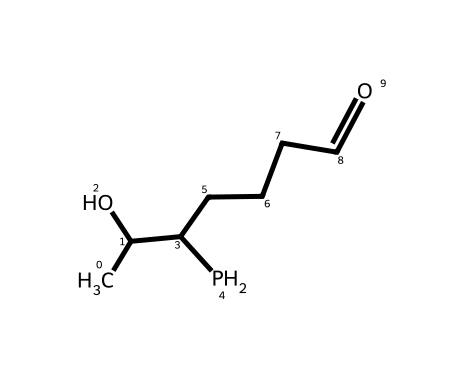 CC(O)C(P)CCCC=O